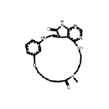 CN1CCCNc2ncnc3c2/C(=C/Nc2cccc(c2)OCCCCC1=O)C(=O)N3